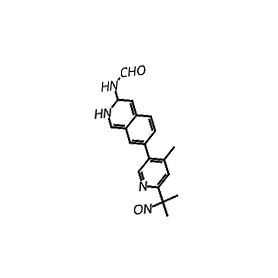 Cc1cc(C(C)(C)N=O)ncc1-c1ccc2c(c1)=CNC(NC=O)C=2